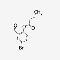 [CH2]CCC(=O)Oc1ccc(Br)cc1C=O